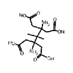 CC(C)(C(N)(CC(=O)O)CC(=O)O)C(N)(CC(=O)O)CC(=O)O